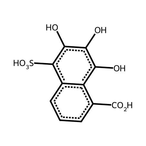 O=C(O)c1cccc2c(S(=O)(=O)O)c(O)c(O)c(O)c12